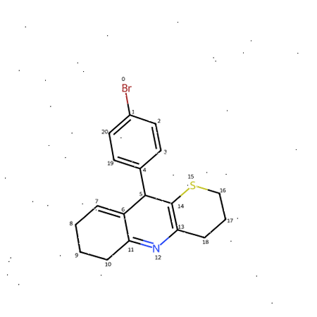 Brc1ccc(C2C3=CCCCC3=NC3=C2SCCC3)cc1